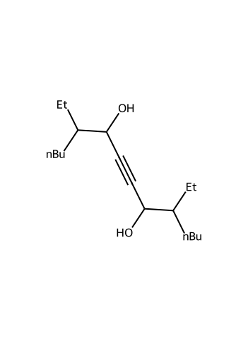 CCCCC(CC)C(O)C#CC(O)C(CC)CCCC